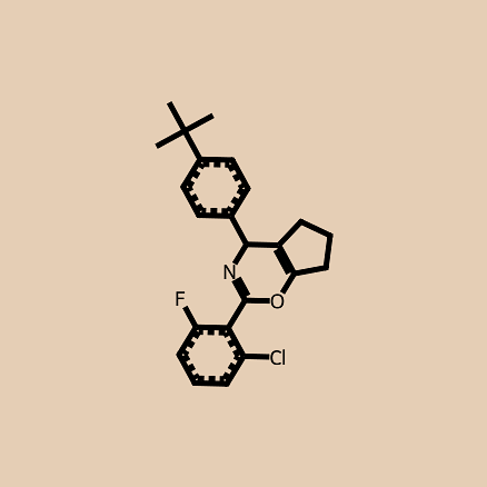 CC(C)(C)c1ccc(C2N=C(c3c(F)cccc3Cl)OC3=C2CCC3)cc1